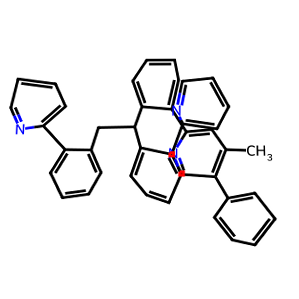 Cc1cc(-c2ccccc2C(Cc2ccccc2-c2ccccn2)c2ccccc2-c2ccccn2)ncc1-c1ccccc1